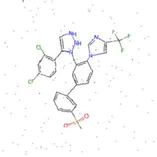 CS(=O)(=O)c1cccc(-c2ccc(-n3cnc(C(F)(F)F)c3)c(N3NNC=C3c3ccc(Cl)cc3Cl)c2)c1